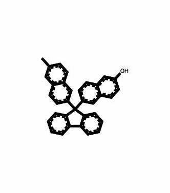 Cc1ccc2cc(C3(c4ccc5cc(O)ccc5c4)c4ccccc4-c4ccccc43)ccc2c1